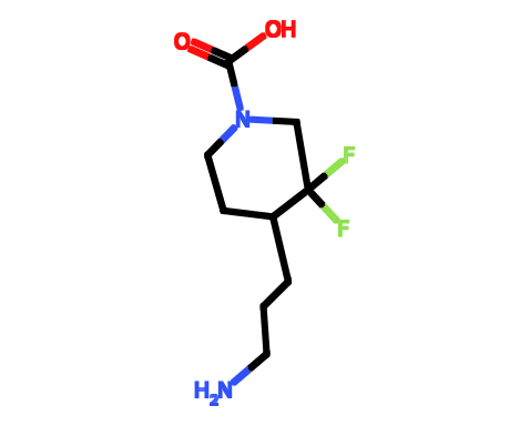 NCCCC1CCN(C(=O)O)CC1(F)F